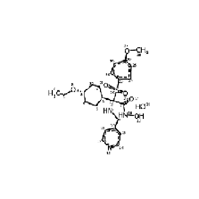 CCO[C@H]1CC[C@H]([C@](NCc2ccncc2)(C(=O)NO)S(=O)(=O)c2ccc(OC)cc2)CC1.Cl